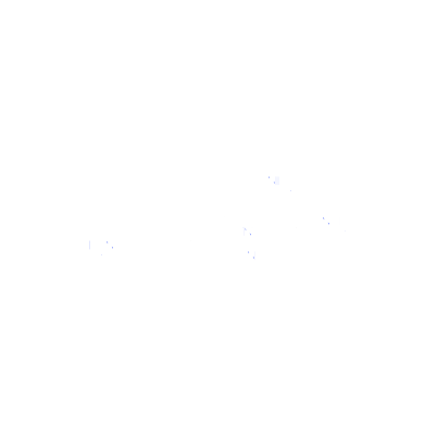 NCC=CCn1ncc(N)c1N